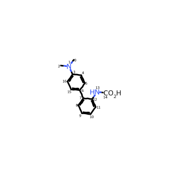 CN(C)c1ccc(-c2ccccc2NC(=O)O)cc1